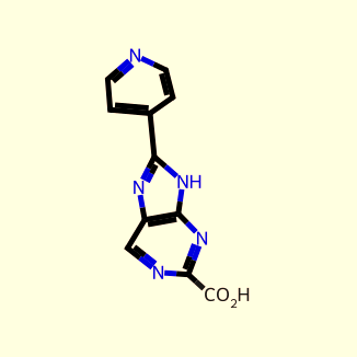 O=C(O)c1ncc2nc(-c3ccncc3)[nH]c2n1